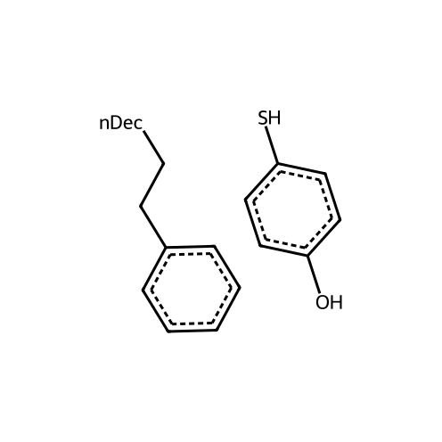 CCCCCCCCCCCCc1ccccc1.Oc1ccc(S)cc1